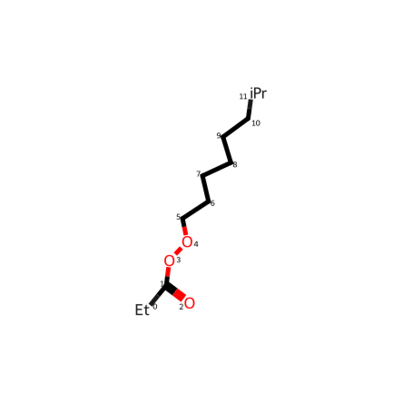 CCC(=O)OOCCCCCCC(C)C